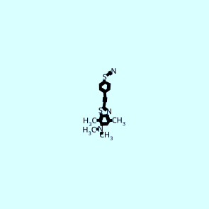 Cc1cc(N(C)C)c(C)c2sc(C#Cc3ccc(SC#N)cc3)nc12